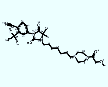 COCC(=O)N1CCN(CCCCCCCN2C(=S)N(c3ccc(C#N)c(C(F)(F)F)c3)C(=O)C2(C)C)CC1